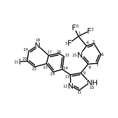 FC(F)(F)c1cccc(-c2[nH]cnc2-c2ccc3ncc(I)cc3c2)n1